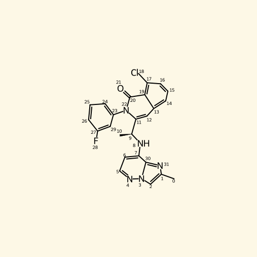 Cc1cn2nccc(N[C@@H](C)c3cc4cccc(Cl)c4c(=O)n3-c3cccc(F)c3)c2n1